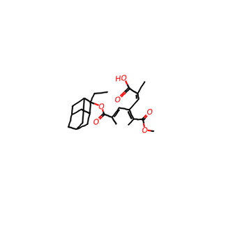 CCC1(OC(=O)C(C)=CC(C=C(C)C(=O)O)=C(C)C(=O)OC)C2CC3CC(C2)CC1C3